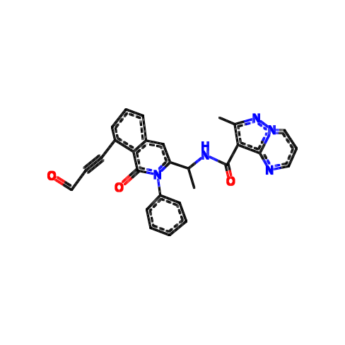 Cc1nn2cccnc2c1C(=O)NC(C)c1cc2cccc(C#CC=O)c2c(=O)n1-c1ccccc1